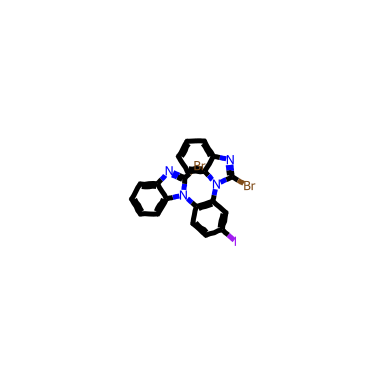 Brc1nc2ccccc2n1-c1ccc(I)cc1-n1c(Br)nc2ccccc21